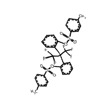 Cc1ccc(S(=O)(=O)Oc2ccccc2C(c2ccccc2OS(=O)(=O)c2ccc(C)cc2)(C(F)(F)F)C(F)(F)F)cc1